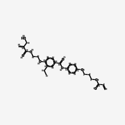 C=CC(=O)OCCCOc1ccc(OC(=O)c2ccc(OCCOC(=O)C(=C)CO)c(CC)c2)cc1